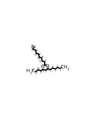 CCCCCCC(CCCCCC)OC(=O)CCCCCCCCBr